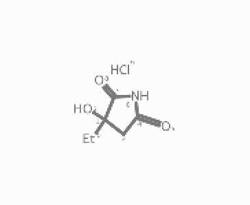 CCC1(O)CC(=O)NC1=O.Cl